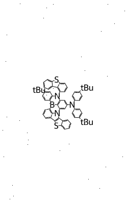 CC(C)(C)c1ccc(N(c2ccc(C(C)(C)C)cc2)c2cc3c4c(c2)-n2c5c(cccc5c5sc6ccccc6c52)B4c2ccc(C(C)(C)C)cc2N3c2cccc3sc4ccccc4c23)cc1